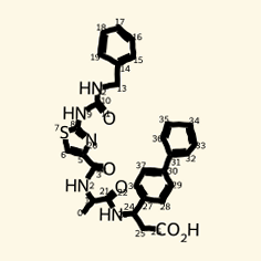 CC(NC(=O)c1csc(NC(=O)NCc2ccccc2)n1)C(=O)NC(CC(=O)O)c1ccc(-c2ccccc2)cc1